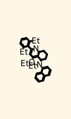 CCOc1cc(-c2c(CC)cccc2CC)nc2c1C(N(CC)c1cccc3ccccc13)CCC2